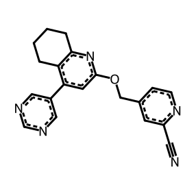 N#Cc1cc(COc2cc(-c3cncnc3)c3c(n2)CCCC3)ccn1